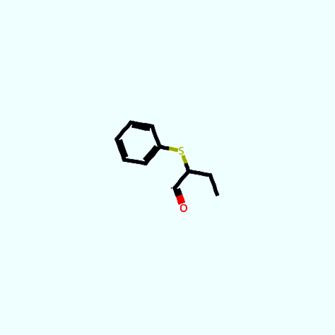 CCC([C]=O)Sc1ccccc1